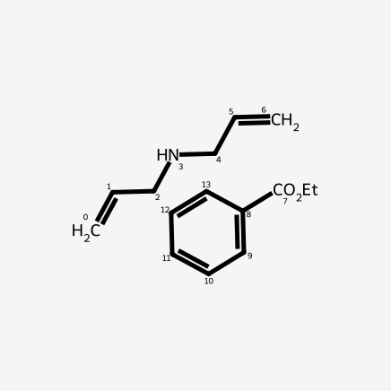 C=CCNCC=C.CCOC(=O)c1ccccc1